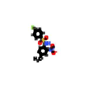 Cc1ccc(NS(=O)(=O)c2ccc(F)cc2)c([N+](=O)[O-])c1